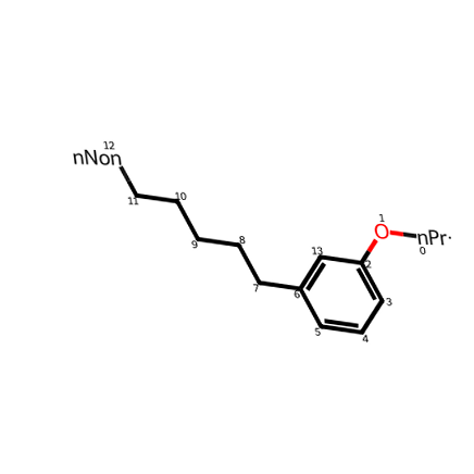 CC[CH]Oc1cccc(CCCCCCCCCCCCCC)c1